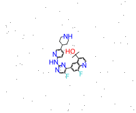 CC(C)(O)c1ccnc2c(F)cc(-c3nc(Nc4ccc(C5CCNCC5)cn4)ncc3F)cc12